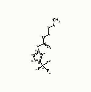 CCCCOC(=O)Cn1cnc(C(F)(F)F)c1